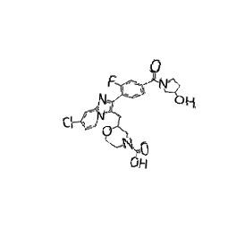 O=C(O)N1CCOC(Cc2c(-c3ccc(C(=O)N4CCC(O)C4)cc3F)nc3cc(Cl)ccn23)C1